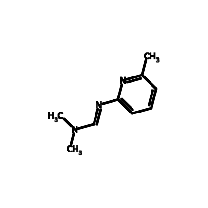 Cc1cccc(/N=C/N(C)C)n1